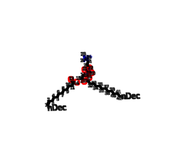 CCCCCCCCCC/C=C\CCCCCCCCCC(=O)OC[C@H](COP(=O)([O-])OCC[N+](C)(C)C)OC(=O)CCCCCCCCCCCCCCCCCCCCC